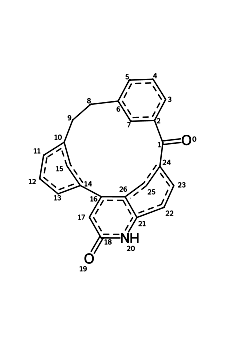 O=C1c2cccc(c2)CCc2cccc(c2)-c2cc(=O)[nH]c3ccc1cc23